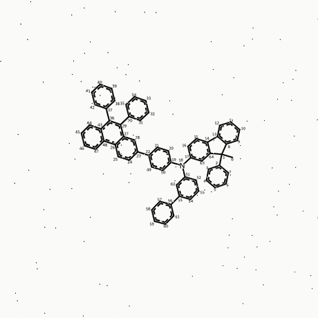 CC1(c2ccccc2)c2ccccc2-c2ccc(N(c3ccc(-c4ccc5c(c4)c(-c4ccccc4)c(-c4ccccc4)c4ccccc45)cc3)c3cccc(-c4ccccc4)c3)cc21